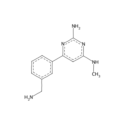 CNc1cc(-c2cccc(CN)c2)nc(N)n1